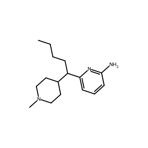 CCCCC(c1cccc(N)n1)C1CCN(C)CC1